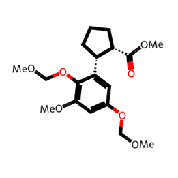 COCOc1cc(OC)c(OCOC)c([C@@H]2CCC[C@@H]2C(=O)OC)c1